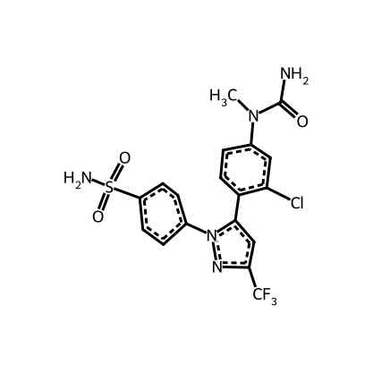 CN(C(N)=O)c1ccc(-c2cc(C(F)(F)F)nn2-c2ccc(S(N)(=O)=O)cc2)c(Cl)c1